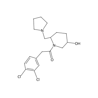 O=C(Cc1ccc(Cl)c(Cl)c1)N1CC(O)CCC1CN1CCCC1